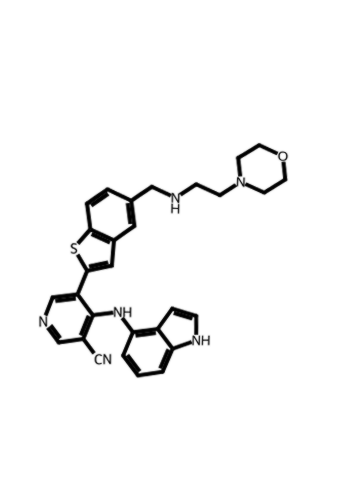 N#Cc1cncc(-c2cc3cc(CNCCN4CCOCC4)ccc3s2)c1Nc1cccc2[nH]ccc12